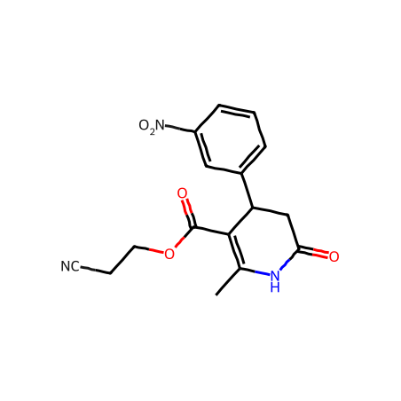 CC1=C(C(=O)OCCC#N)C(c2cccc([N+](=O)[O-])c2)CC(=O)N1